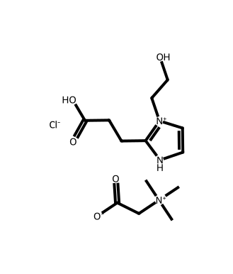 C[N+](C)(C)CC(=O)[O-].O=C(O)CCc1[nH]cc[n+]1CCO.[Cl-]